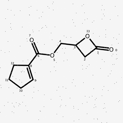 O=C1CC(COC(=O)C2=CCCC2)O1